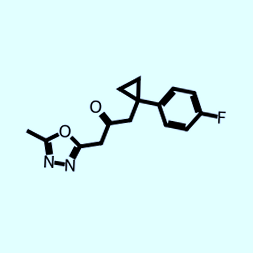 Cc1nnc(CC(=O)CC2(c3ccc(F)cc3)CC2)o1